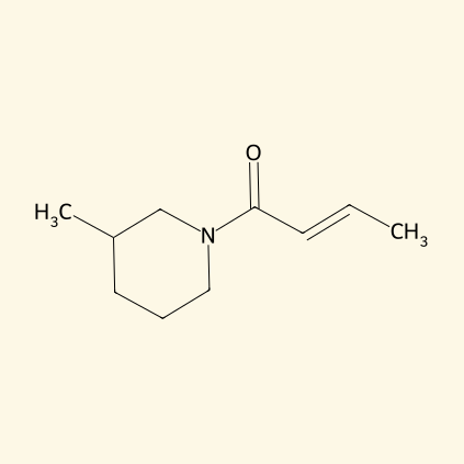 CC=CC(=O)N1CCCC(C)C1